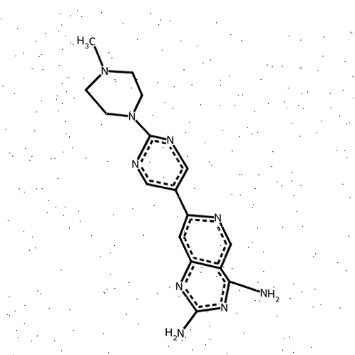 CN1CCN(c2ncc(-c3cc4nc(N)nc(N)c4cn3)cn2)CC1